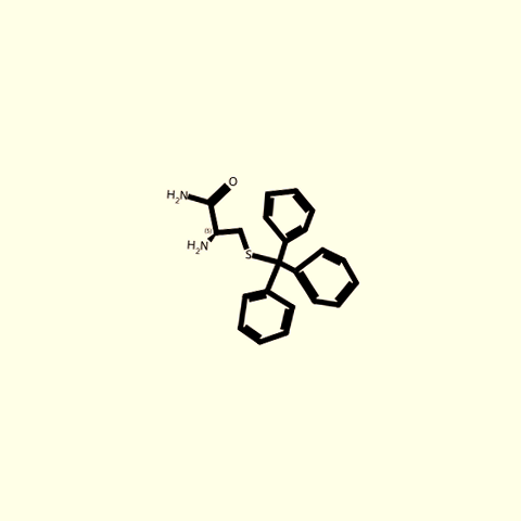 NC(=O)[C@H](N)CSC(c1ccccc1)(c1ccccc1)c1ccccc1